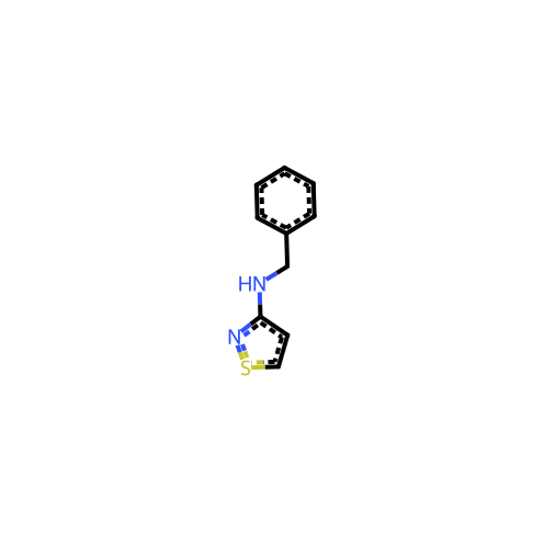 c1ccc(CNc2ccsn2)cc1